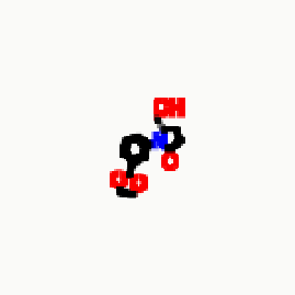 O=C1CC[C@@H](CO)N1c1cccc(C2OCCO2)c1